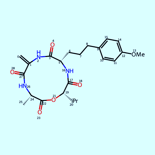 C=C1NC(=O)[C@H](CCCc2ccc(OC)cc2)NC(=O)[C@H](C(C)C)OC(=O)[C@H](C)NC1=O